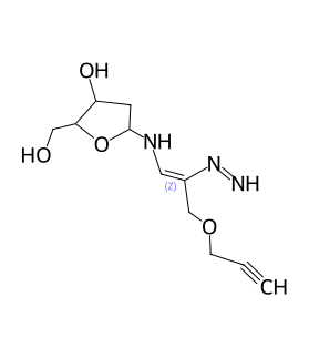 C#CCOC/C(=C/NC1CC(O)C(CO)O1)N=N